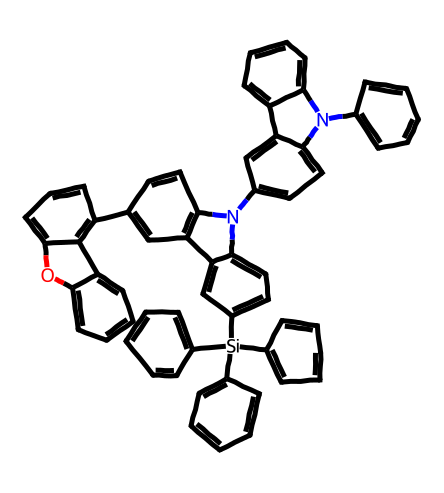 c1ccc(-n2c3ccccc3c3cc(-n4c5ccc(-c6cccc7oc8ccccc8c67)cc5c5cc([Si](c6ccccc6)(c6ccccc6)c6ccccc6)ccc54)ccc32)cc1